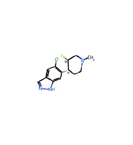 CN1CC[C@H](c2cc3[nH]ncc3cc2Cl)[C@@H](F)C1